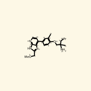 COCc1nc2c(-c3ccc(OCC(C)(N)CC(C)C)c(C)c3)ccnc2[nH]1